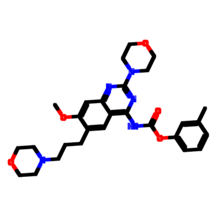 COc1cc2nc(N3CCOCC3)nc(NC(=O)Oc3cccc(C)c3)c2cc1CCCN1CCOCC1